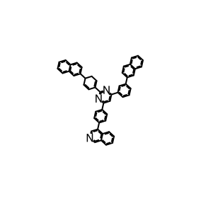 C1=CC(c2ccc3ccccc3c2)CC=C1c1nc(-c2ccc(-c3cncc4ccccc34)cc2)cc(-c2cccc(-c3ccc4ccccc4c3)c2)n1